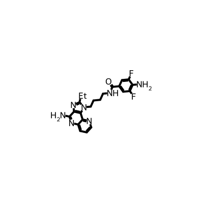 CCc1nc2c(N)nc3cccnc3c2n1CCCCNC(=O)c1cc(F)c(N)c(F)c1